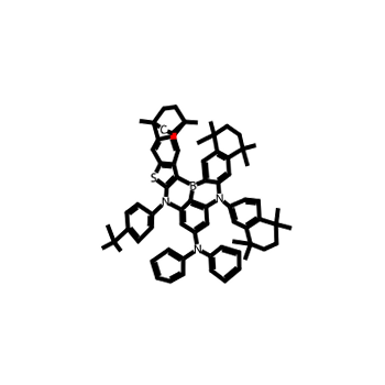 CC(C)(C)c1ccc(N2c3cc(N(c4ccccc4)c4ccccc4)cc4c3B(c3cc5c(cc3N4c3ccc4c(c3)C(C)(C)CCC4(C)C)C(C)(C)CCC5(C)C)c3c2sc2cc4c(cc32)C2(C)CCC4(C)CC2)cc1